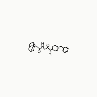 O=C(CC12CC3CC(CC(C3)C1)C2)NCC(=O)NC1CCN(Cc2ccccc2)CC1